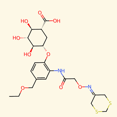 CCOCc1ccc(O[C@H]2C[C@@H](C(=O)O)[C@H](O)[C@@H](O)[C@@H]2O)c(NC(=O)CON=C2CSCSC2)c1